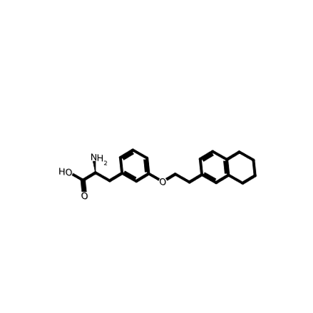 N[C@@H](Cc1cccc(OCCc2ccc3c(c2)CCCC3)c1)C(=O)O